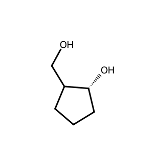 OCC1CCC[C@H]1O